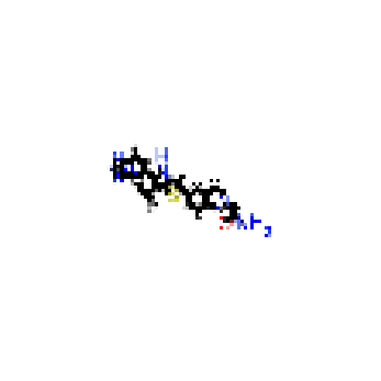 Cc1cc(-c2[nH]c3cc(C4CCC5CN(CC(N)=O)CCC5C4)sc3c2C(C)C)cn2ncnc12